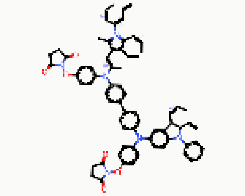 C=C/C=C(\C=C/C)n1c(C)c(/C=C(\C)N(c2ccc(ON3C(=O)CCC3=O)cc2)c2ccc(-c3ccc(N(c4ccc(ON5C(=O)CCC5=O)cc4)c4ccc5c(c4)C(/C=C\C)C(C=C)N5c4ccccc4)cc3)cc2)c(C=C)c1/C=C\C